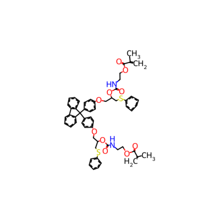 C=C(C)C(=O)OCCNC(=O)OC(COc1ccc(C2(c3ccc(OCC(CSc4ccccc4)OC(=O)NCCOC(=O)C(=C)C)cc3)c3ccccc3-c3ccccc32)cc1)CSc1ccccc1